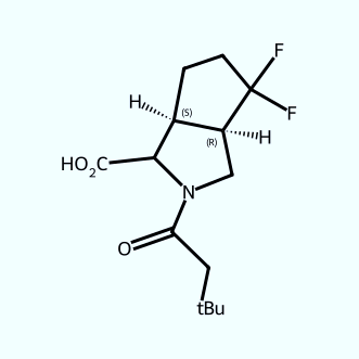 CC(C)(C)CC(=O)N1C[C@H]2[C@H](CCC2(F)F)C1C(=O)O